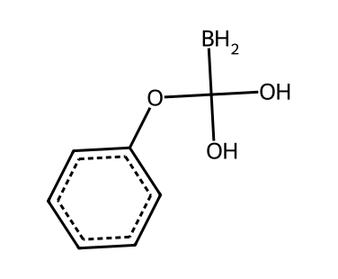 BC(O)(O)Oc1ccccc1